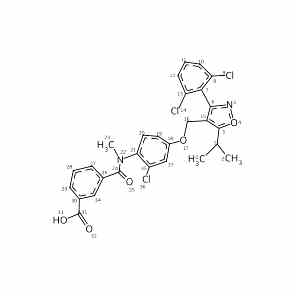 CC(C)c1onc(-c2c(Cl)cccc2Cl)c1COc1ccc(N(C)C(=O)c2cccc(C(=O)O)c2)c(Cl)c1